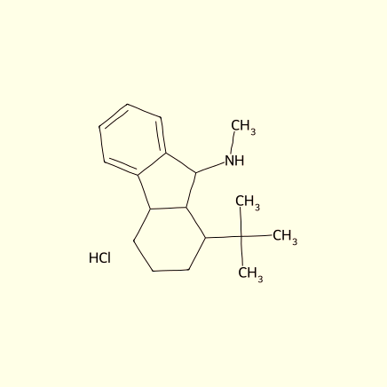 CNC1c2ccccc2C2CCCC(C(C)(C)C)C21.Cl